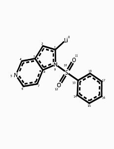 [Li][c]1cc2cnccc2n1S(=O)(=O)c1ccccc1